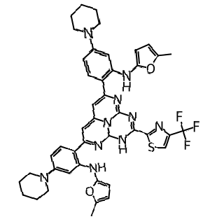 Cc1ccc(Nc2cc(N3CCCCC3)ccc2C2=CC3=CC(c4ccc(N5CCCCC5)cc4Nc4ccc(C)o4)=NC4NC(c5nc(C(F)(F)F)cs5)=NC(=N2)N34)o1